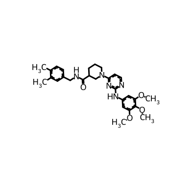 COc1cc(Nc2nccc(N3CCCC(C(=O)NCc4ccc(C)c(C)c4)C3)n2)cc(OC)c1OC